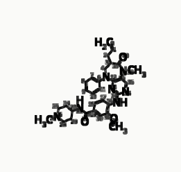 C=CCC1CN(c2ccccc2)c2nc(Nc3ccc(C(=O)NC4CCN(C)CC4)cc3OC)ncc2N(C)C1=O